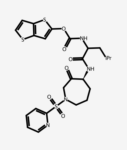 CC(C)CC(NC(=O)Oc1cc2sccc2s1)C(=O)N[C@H]1CCCN(S(=O)(=O)c2ccccn2)CC1=O